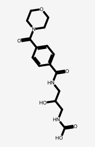 O=C(O)NCC(O)CNC(=O)c1ccc(C(=O)N2CCOCC2)cc1